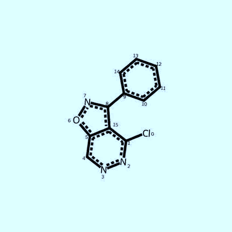 Clc1nncc2onc(-c3ccccc3)c12